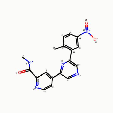 CNC(=O)c1cc(-c2cncc(-c3cc([N+](=O)[O-])ccc3C)n2)ccn1